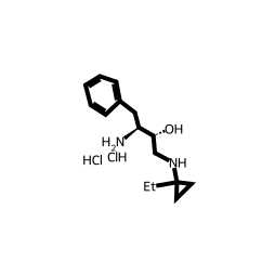 CCC1(NC[C@@H](O)[C@@H](N)Cc2ccccc2)CC1.Cl.Cl